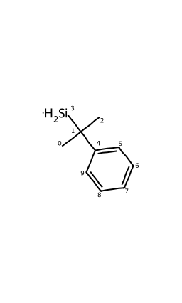 CC(C)([SiH2])c1ccccc1